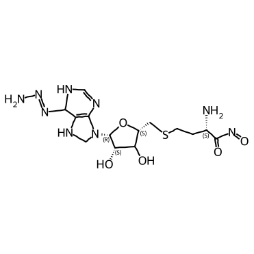 NN=NC1NC=NC2=C1NCN2[C@@H]1O[C@H](CSCC[C@H](N)C(=O)N=O)C(O)[C@@H]1O